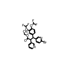 CCOC(=O)C(c1cccnc1)C(c1ccc(Br)nc1)c1ccc(OC(F)F)c(OC(F)F)c1